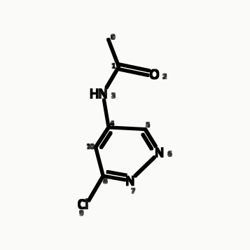 CC(=O)Nc1cnnc(Cl)c1